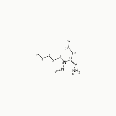 C=NN(CCCCC)/C(=C\N)CCC